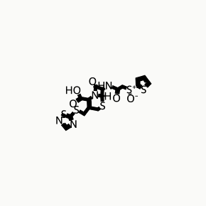 O=C(C[S+]([O-])c1cccs1)NC1C(=O)N2C(C(=O)O)=C(CSc3ncns3)CS[C@@H]12